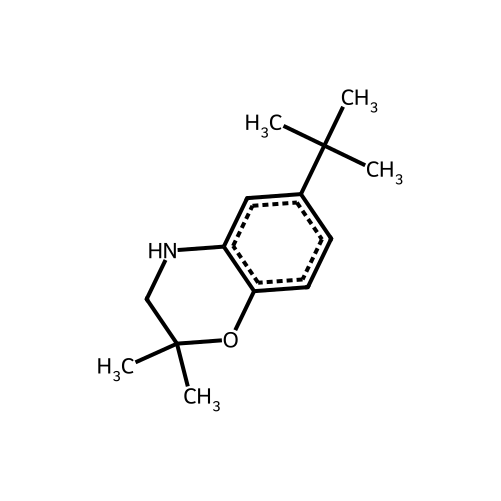 CC1(C)CNc2cc(C(C)(C)C)ccc2O1